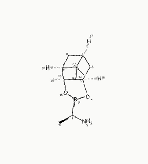 C[C@H](N)B1O[C@@H]2C[C@@H]3C[C@@H](C3(C)C)[C@]2(C)O1